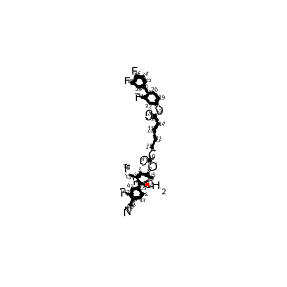 C=C(/C(=C\C(=C/C)OC(=O)CCCCCC(=O)Oc1ccc(-c2ccc(F)c(F)c2)c(F)c1)CF)c1ccc(C#N)c(F)c1